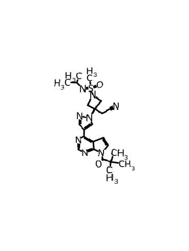 CC(C)N=S(C)(=O)N1CC(CC#N)(n2cc(-c3ncnc4c3ccn4C(=O)C(C)(C)C)cn2)C1